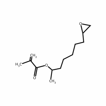 C=C(C)C(=O)OC(C)CCCCCC1CO1